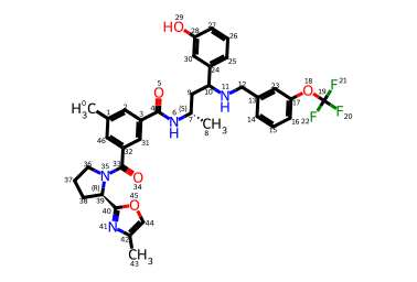 Cc1cc(C(=O)N[C@@H](C)CC(NCc2cccc(OC(F)(F)F)c2)c2cccc(O)c2)cc(C(=O)N2CCC[C@@H]2c2nc(C)co2)c1